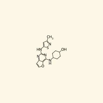 Cc1cc(Nc2nc(NC3CCC(O)CC3)c3occc3n2)sn1